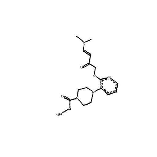 CN(C)C=CC(=O)COc1ncccc1N1CCN(C(=O)OC(C)(C)C)CC1